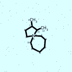 CC1CC[N+]2(CCCCCC2)C1C